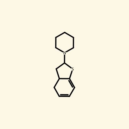 C1=CCC2CC(N3CCCCC3)SC2=C1